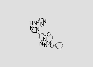 Cn1nccc1Nc1nccc(-c2cc3n4c(nnc4c2)[C@@H](Oc2ccccc2)CCO3)n1